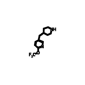 FC(F)(F)Oc1ccc(CC2CCNCC2)cn1